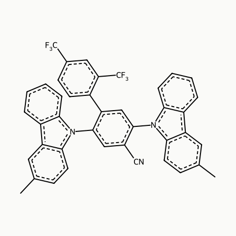 Cc1ccc2c(c1)c1ccccc1n2-c1cc(-c2ccc(C(F)(F)F)cc2C(F)(F)F)c(-n2c3ccccc3c3cc(C)ccc32)cc1C#N